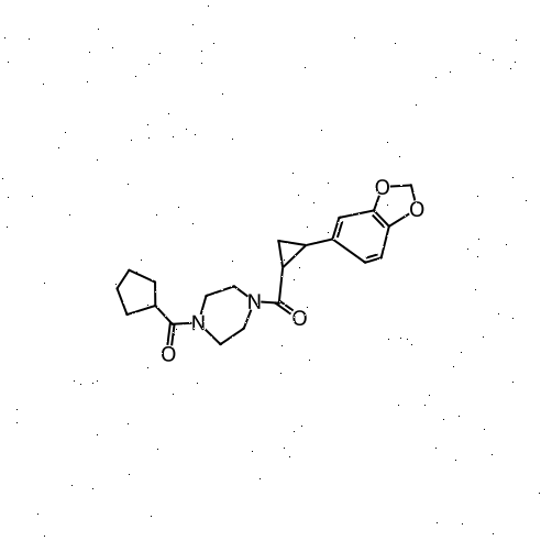 O=C(C1CCCC1)N1CCN(C(=O)C2CC2c2ccc3c(c2)OCO3)CC1